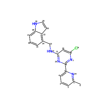 Cc1cccc(-c2nc(Cl)cc(NCc3cccc4[nH]ccc34)n2)n1